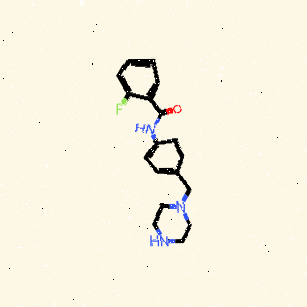 O=C(NC1=CC=C(CN2CCNCC2)CC1)c1ccccc1F